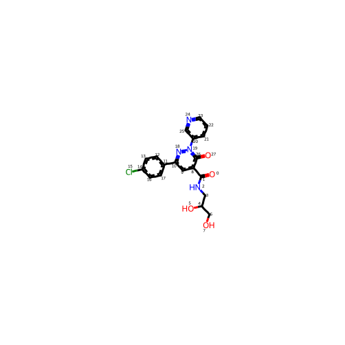 O=C(NCC(O)CO)c1cc(-c2ccc(Cl)cc2)nn(-c2cccnc2)c1=O